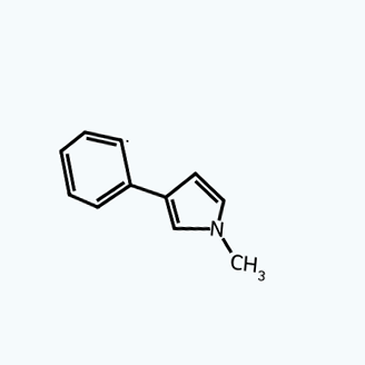 Cn1ccc(-c2[c]cccc2)c1